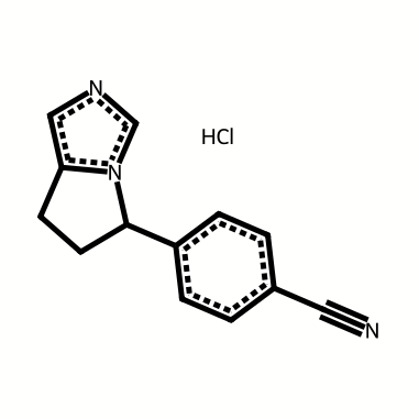 Cl.N#Cc1ccc(C2CCc3cncn32)cc1